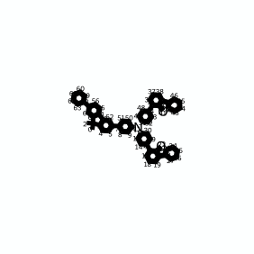 CC1(C)c2ccc(-c3ccc(N(c4ccc(-c5cccc6c5oc5ccccc56)cc4)c4ccc(-c5cccc6c5oc5ccccc56)cc4)cc3)cc2-c2ccc(-c3ccccc3)cc21